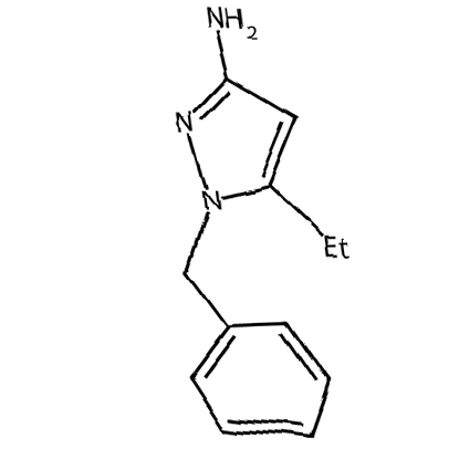 CCc1cc(N)nn1Cc1ccccc1